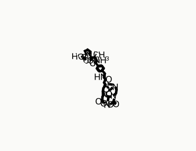 C[C@@H](NC(=O)c1ccc(CNC(=O)CN2CCN3CCN4CCN(CC2)CC(=O)ON(OC(=O)C3)OC(=O)C4)cc1)C(=O)N1CCC[C@H]1B(O)O